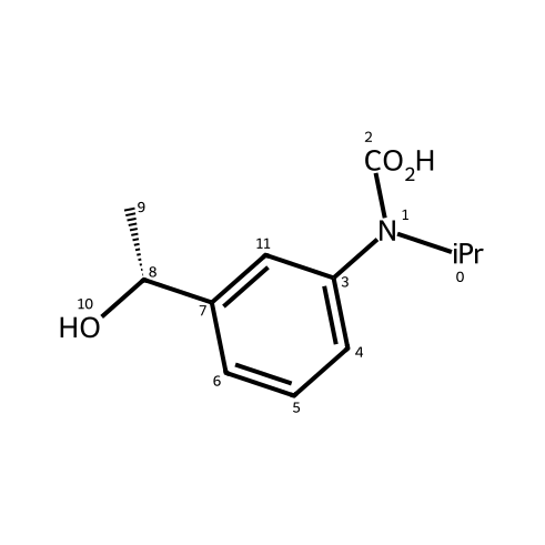 CC(C)N(C(=O)O)c1cccc([C@@H](C)O)c1